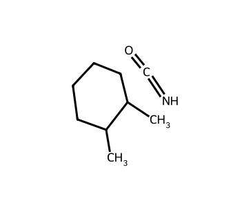 CC1CCCCC1C.N=C=O